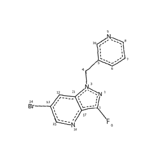 Fc1nn(Cc2cccnc2)c2cc(Br)cnc12